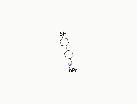 CCC/C=C/C1CCC(C2CCC(S)CC2)CC1